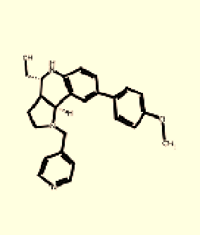 COc1ccc(-c2ccc3c(c2)[C@@H]2C(CCN2Cc2ccncc2)[C@H](CO)N3)cc1